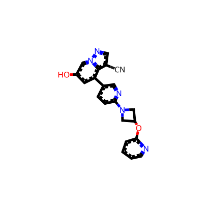 N#Cc1cnn2cc(O)cc(-c3ccc(N4CC(Oc5ccccn5)C4)nc3)c12